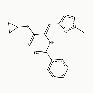 Cc1ccc(/C=C(\NC(=O)c2ccccc2)C(=O)NC2CC2)o1